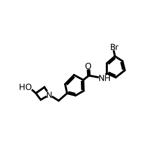 O=C(Nc1cccc(Br)c1)c1ccc(CN2CC(O)C2)cc1